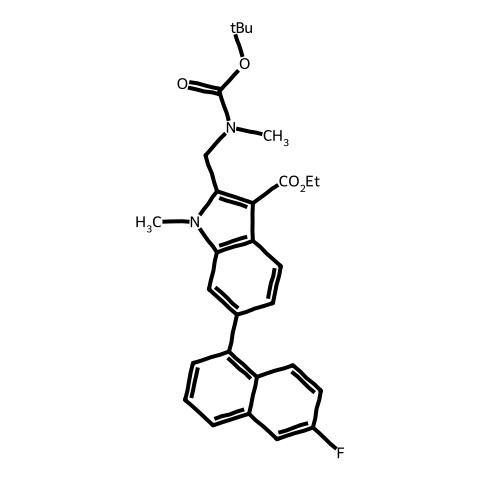 CCOC(=O)c1c(CN(C)C(=O)OC(C)(C)C)n(C)c2cc(-c3cccc4cc(F)ccc34)ccc12